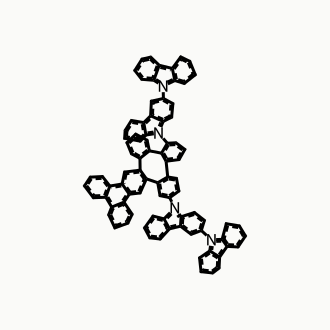 c1ccc2c(c1)-c1cc3c4ccccc4c4ccccc4c3cc1-c1cc(-n3c4ccccc4c4cc(-n5c6ccccc6c6ccccc65)ccc43)ccc1-c1cccc(-n3c4ccccc4c4cc(-n5c6ccccc6c6ccccc65)ccc43)c1-2